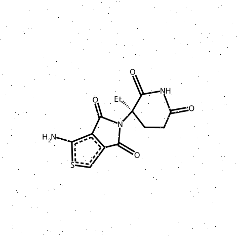 CC[C@@]1(N2C(=O)c3csc(N)c3C2=O)CCC(=O)NC1=O